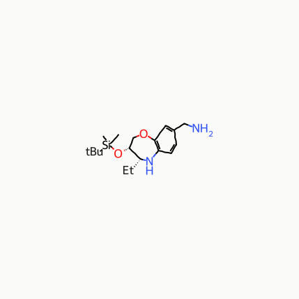 CC[C@H]1Nc2ccc(CN)cc2OC[C@H]1O[Si](C)(C)C(C)(C)C